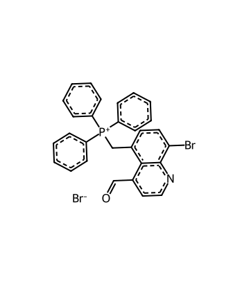 O=Cc1ccnc2c(Br)ccc(C[P+](c3ccccc3)(c3ccccc3)c3ccccc3)c12.[Br-]